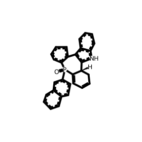 O=P1(c2ccc3ccccc3c2)C2=CC=CC[C@H]2c2[nH]c3ccccc3c2-c2ccccc21